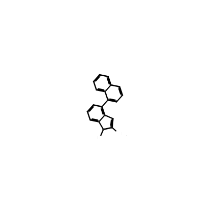 CC1=Cc2c(-c3cccc4ccccc34)cccc2[CH]1[Ti]